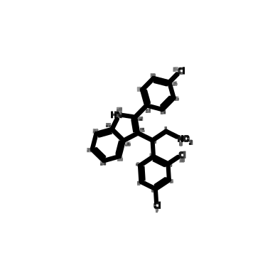 O=[N+]([O-])CC(c1ccc(Cl)cc1Cl)c1c(-c2ccc(Cl)cc2)[nH]c2ccccc12